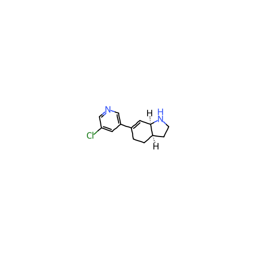 Clc1cncc(C2=C[C@H]3NCC[C@H]3CC2)c1